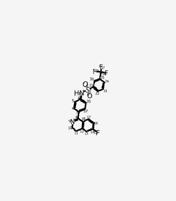 O=S(=O)(Nc1ccc(C2=NCCc3cc(F)ccc32)cc1)c1cccc(C(F)(F)F)c1